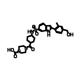 Cc1cc(CO)ccc1-c1cc2ccc(S(=O)(=O)NC3CCC(C(=O)N4CCN(C(=O)O)CC4)CC3)cc2[nH]1